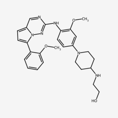 COc1cc(N2CCC(NCCO)CC2)ccc1Nc1ncc2ccc(-c3ccccc3OC)n2n1